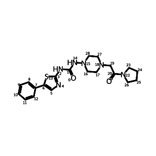 O=C(Nc1ncc(-c2ccccc2)s1)NN1CCN(CC(=O)N2CCCC2)CC1